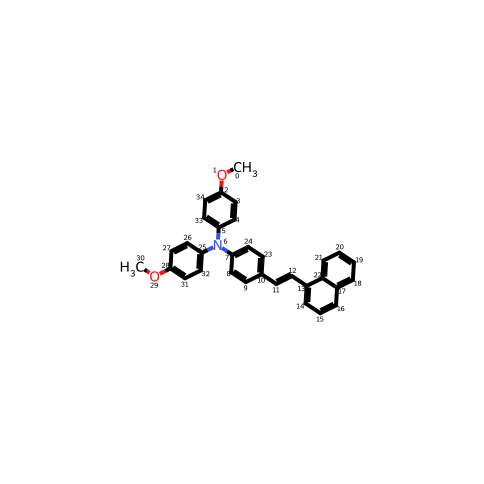 COc1ccc(N(c2ccc(C=Cc3cccc4ccccc34)cc2)c2ccc(OC)cc2)cc1